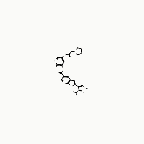 Cc1ncc(NC(=O)CN2CCC[C@@H]2C)cc1NC(=O)c1cnc2[nH]c(-c3cn(C)nc3C(F)F)cc2c1